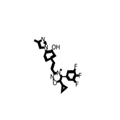 Cc1cn(-c2ccc(/C=C/C3=NOC(C4CC4)[C@H](c4cc(F)c(F)c(F)c4)N3C)cc2O)cn1